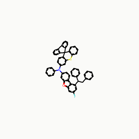 Fc1cc(C(Cc2ccccc2)c2ccccc2)c2c(c1)oc1cc(N(c3ccccc3)c3ccc4c(c3)Sc3ccccc3C43c4ccccc4-c4ccccc43)ccc12